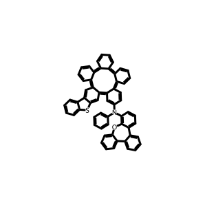 c1ccc(N(c2ccc3c4ccccc4c4ccccc4c4ccccc4c4cc5c(cc4c3c2)sc2ccccc25)c2cccc3c2Oc2ccccc2-c2ccccc2-3)cc1